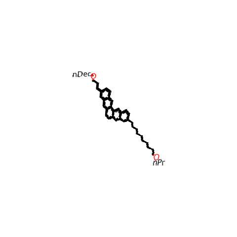 CCCCCCCCCCOCCCc1ccc2cc3c(ccc4cc5cc(CCCCCCCCCCOCCC)ccc5cc43)cc2c1